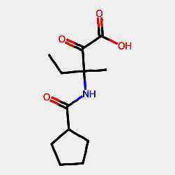 CCC(C)(NC(=O)C1CCCC1)C(=O)C(=O)O